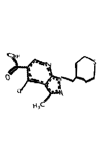 Cc1nn(C2CCSCC2)c2ncc(C(=O)O)c(Cl)c12